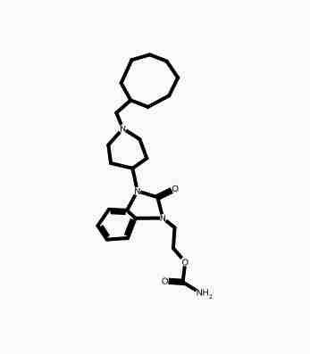 NC(=O)OCCn1c(=O)n(C2CCN(CC3CCCCCCC3)CC2)c2ccccc21